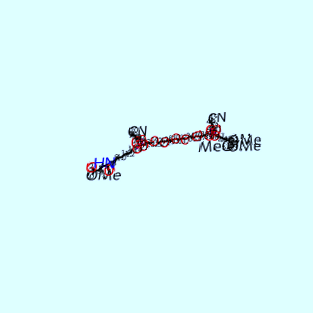 COC(=O)CCC(=O)NCCCCCCOP(=O)(OCCC#N)OCCOCCOCCOCCOCCOCCOP(=O)(OCCC#N)OCCC[Si](OC)(OC)OC